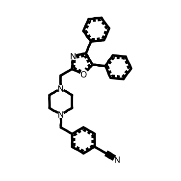 N#Cc1ccc(CN2CCN(Cc3nc(-c4ccccc4)c(-c4ccccc4)o3)CC2)cc1